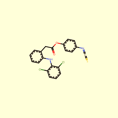 O=C(Cc1ccccc1Nc1c(Cl)cccc1Cl)Oc1ccc(N=C=S)cc1